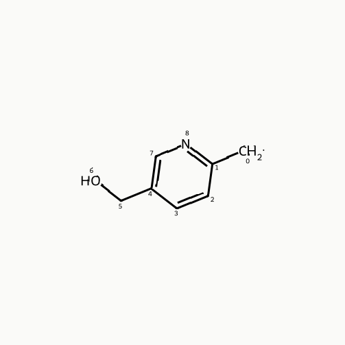 [CH2]c1ccc(CO)cn1